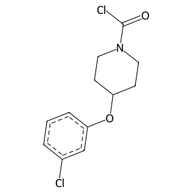 O=C(Cl)N1CCC(Oc2cccc(Cl)c2)CC1